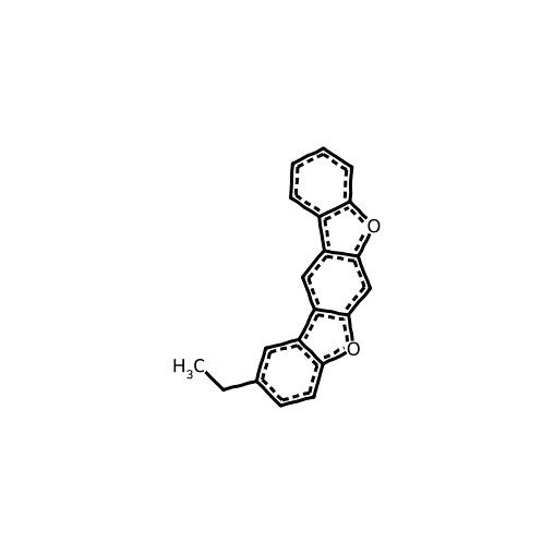 CCc1ccc2oc3cc4oc5ccccc5c4cc3c2c1